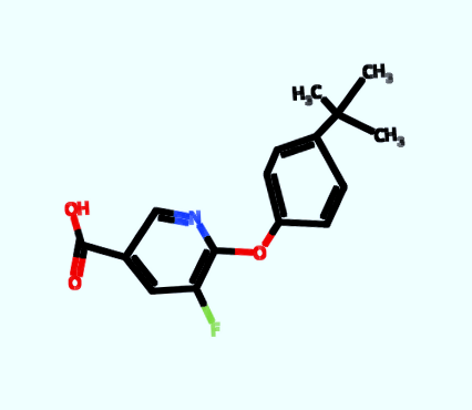 CC(C)(C)c1ccc(Oc2ncc(C(=O)O)cc2F)cc1